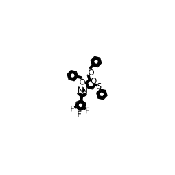 Fc1cc(-c2cnn(C3CC(Sc4ccccc4)OC(COCc4ccccc4)C3OCc3ccccc3)c2)cc(F)c1F